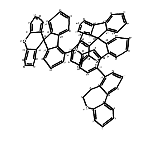 c1ccc2c(c1)OCCc1c(-c3ccc(N(c4cccc5c4-c4ccccc4C54c5ccccc5Oc5ccccc54)c4cccc5c4C4(c6ccccc6Sc6ccccc64)c4ccccc4-5)cc3)cccc1-2